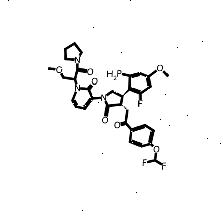 COCC(C(=O)N1CCCC1)n1cccc(N2C[C@@H](c3c(F)cc(OC)cc3P)[C@H](CC(=O)c3ccc(OC(F)F)cc3)C2=O)c1=O